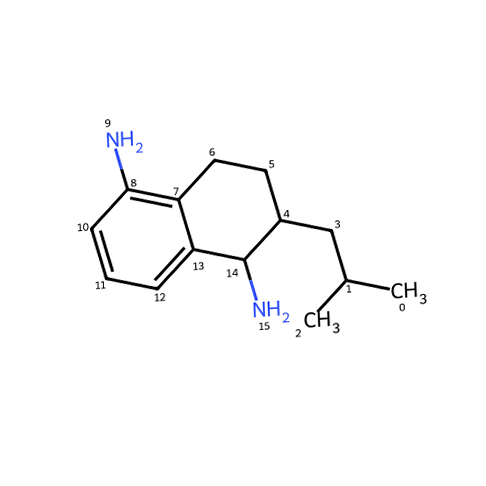 CC(C)CC1CCc2c(N)cccc2C1N